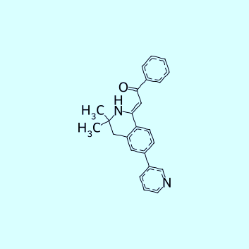 CC1(C)Cc2cc(-c3cccnc3)ccc2C(=CC(=O)c2ccccc2)N1